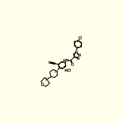 Cl.N#Cc1cc(NC(=O)c2cn(-c3ccc(Cl)cc3)nn2)ccc1N1CCC(N2CCOCC2)CC1